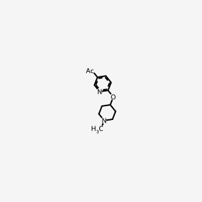 CC(=O)c1ccc(OC2CCN(C)CC2)nc1